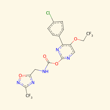 O=C(NCc1nc(C(F)(F)F)no1)Oc1ncc(OCC(F)(F)F)c(-c2ccc(Cl)cc2)n1